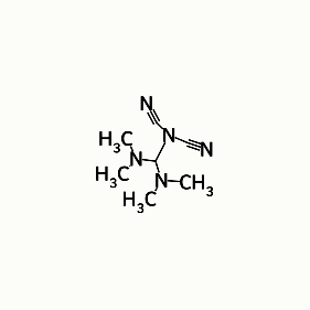 CN(C)C(N(C)C)N(C#N)C#N